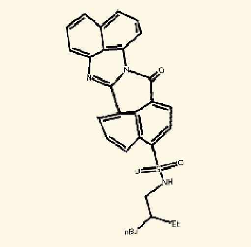 CCCCC(CC)CNS(=O)(=O)c1ccc2c(=O)n3c4cccc5cccc(nc3c3cccc1c23)c54